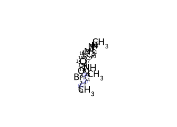 C\C=C/C=C\C(Br)=C(/C)C(=O)Nc1cccc(C2(I)CCSC(N=NC)=N2)c1